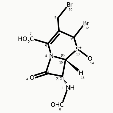 O=CN[C@@H]1C(=O)N2C(C(=O)O)=C(CBr)C(Br)[S+]([O-])[C@H]12